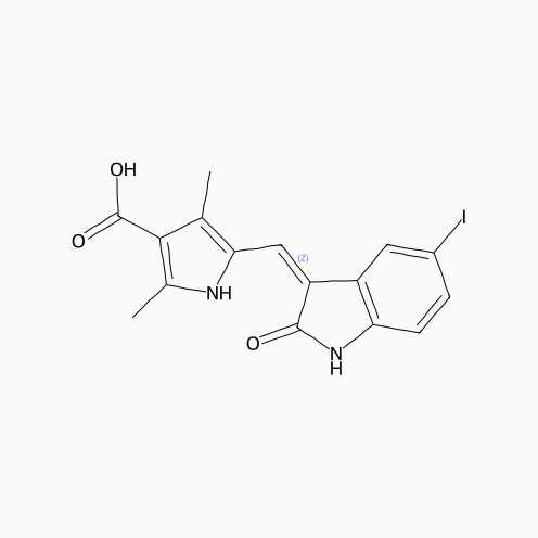 Cc1[nH]c(/C=C2\C(=O)Nc3ccc(I)cc32)c(C)c1C(=O)O